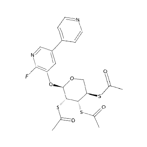 CC(=O)S[C@@H]1[C@@H](Oc2cc(-c3ccncc3)cnc2F)OC[C@@H](SC(C)=O)[C@@H]1SC(C)=O